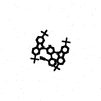 CC(C)(C)c1ccc2c3ccc(C(C)(C)C)cc3n(-c3cc(-c4ccccc4C#N)c(-n4c5cc(C(C)(C)C)ccc5c5ccc(C(C)(C)C)cc54)cn3)c2c1